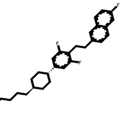 CCCCC[C@H]1CC[C@H](c2cc(F)c(CCc3ccc4cc(F)ccc4c3)c(F)c2)CC1